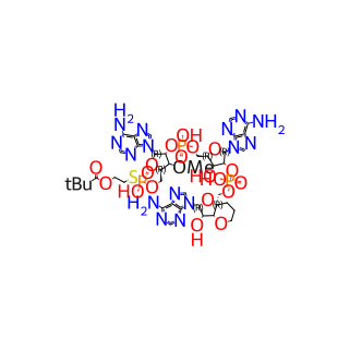 COC1C(OP(=O)(O)OC[C@H]2O[C@@H](n3cnc4c(N)ncnc43)C(OP(=O)(O)OC[C@]34CCCOC3C(O)[C@H](n3cnc5c(N)ncnc53)O4)C2O)[C@H](n2cnc3c(N)ncnc32)O[C@@H]1COP(=O)(O)SCCOC(=O)C(C)(C)C